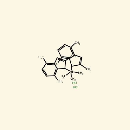 CC1=Cc2c(C)ccc(C)c2[CH]1[Hf]([CH3])([CH3])([SiH3])[CH]1C(C)=Cc2c(C)ccc(C)c21.Cl.Cl